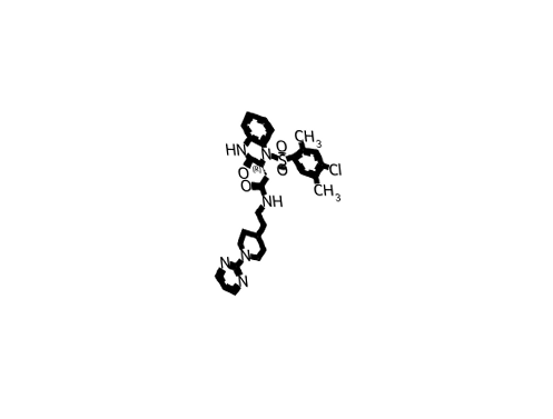 Cc1cc(S(=O)(=O)N2c3ccccc3NC(=O)[C@H]2CC(=O)NCCC2CCN(c3ncccn3)CC2)c(C)cc1Cl